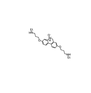 CCNCCCOc1ccc2c(c1)C[NH+]([O-])c1cc(OCCCNCC)ccc1-2